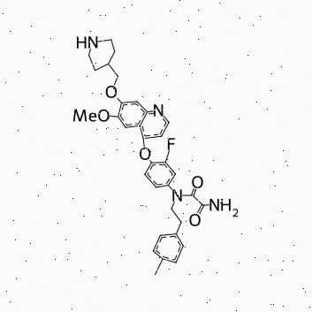 COc1cc2c(Oc3ccc(N(CCc4ccc(C)cc4)C(=O)C(N)=O)cc3F)ccnc2cc1OCC1CCNCC1